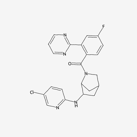 O=C(c1ccc(F)cc1-c1ncccn1)N1CC2CC(Nc3ccc(Cl)cn3)C1C2